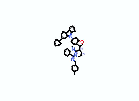 C=NC(=N\C(=N/Cc1ccc(C)cc1)c1ccccc1)/C(/C=C\C)=C1/COc2cc(-n3c4ccccc4c4ccc(-c5ccccc5)cc43)ccc21